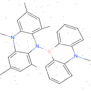 Cc1cc(C)c2c(c1)N(C)c1cc(C)cc(C)c1N2B1c2ccccc2N(C)c2ccccc21